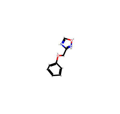 c1ccc(OCc2ncon2)cc1